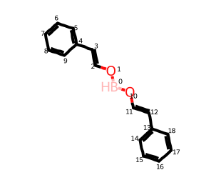 B(OC=Cc1ccccc1)OC=Cc1ccccc1